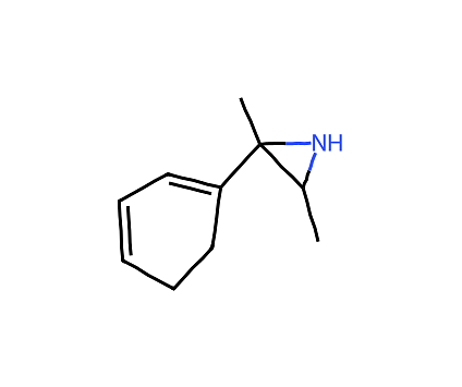 CC1NC1(C)C1=CC=CCC1